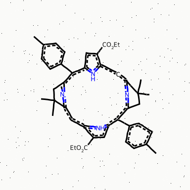 CCOC(=O)c1cc2[nH]c1cc1nc(c(-c3ccc(C)cc3)c3cc(C(=O)OCC)c(cc4nc(c2-c2ccc(C)cc2)CC4(C)C)[nH]3)CC1(C)C